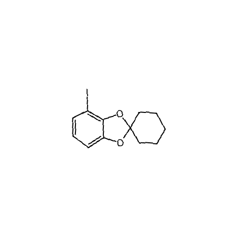 Ic1cccc2c1OC1(CCCCC1)O2